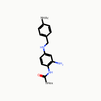 CCCCCCC(=O)Nc1ccc(NCc2ccc(NC(C)=O)cc2)cc1N